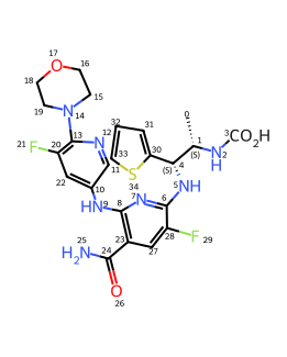 C[C@H](NC(=O)O)[C@H](Nc1nc(Nc2cnc(N3CCOCC3)c(F)c2)c(C(N)=O)cc1F)c1cccs1